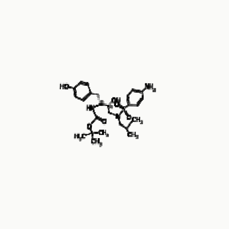 CC(C)CN(C[C@@H](O)[C@@H](Cc1ccc(O)cc1)NC(=O)OC(C)(C)C)S(=O)(=O)c1ccc(N)cc1